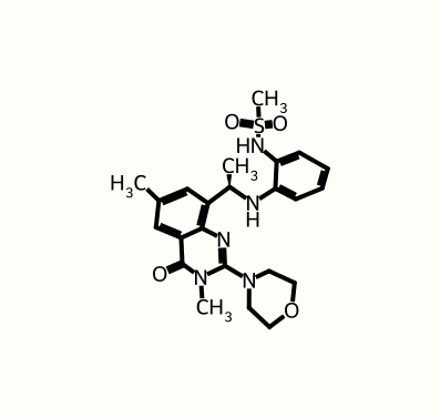 Cc1cc([C@@H](C)Nc2ccccc2NS(C)(=O)=O)c2nc(N3CCOCC3)n(C)c(=O)c2c1